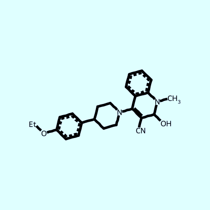 CCOc1ccc(C2CCN(C3=C(C#N)C(O)N(C)c4ccccc43)CC2)cc1